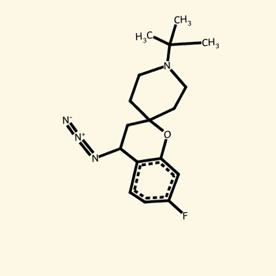 CC(C)(C)N1CCC2(CC1)CC(N=[N+]=[N-])c1ccc(F)cc1O2